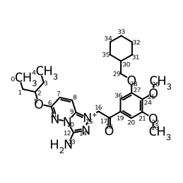 CCC(CC)Oc1ccc2n(n1)c(N)n[n+]2CC(=O)c1cc(OC)c(OC)c(OCC2CCCCC2)c1